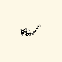 CCOCCOCCOCCNS(=O)(=O)c1cccc(C2CN(C)Cc3c(Cl)cc(Cl)cc32)c1